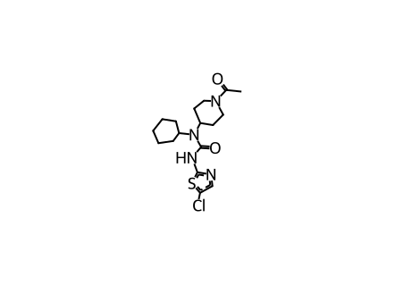 CC(=O)N1CCC(N(C(=O)Nc2ncc(Cl)s2)C2CCCCC2)CC1